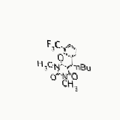 CCCCC(=C1C(=O)N(C)C(=O)N(C)C1=O)c1cccc(C(F)(F)F)c1